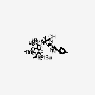 C=CCC(O[Si](C)(C)C(C)(C)C)[C@H]1O[C@@H](n2cnc3c(O)nc(-n4cc(-c5ccc(C)cc5)nn4)nc32)[C@H](O[Si](C)(C)C(C)(C)C)[C@@H]1O[Si](C)(C)C(C)(C)C